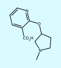 CN1CCC(Oc2ncccc2C(=O)O)C1